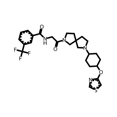 O=C(NCC(=O)N1CCC2(CCN(C3CCC(Oc4cscn4)CC3)C2)C1)c1cccc(C(F)(F)F)c1